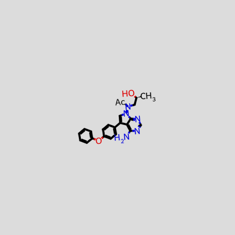 CC(=O)N(C[C@@H](C)O)n1cc(-c2ccc(Oc3ccccc3)cc2)c2c(N)ncnc21